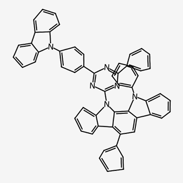 c1ccc(-c2nc(-c3ccc(-n4c5ccccc5c5ccccc54)cc3)nc(-n3c4ccccc4c4c(-c5ccccc5)cc5c6ccccc6n(-c6ccccc6)c5c43)n2)cc1